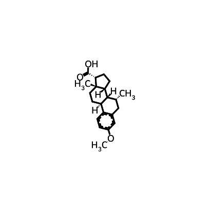 COc1ccc2c(c1)C[C@@H](C)[C@@H]1[C@@H]2CC[C@@]2(C)[C@@H]1CC[C@H]2C(=O)O